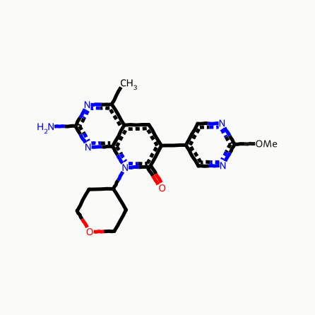 COc1ncc(-c2cc3c(C)nc(N)nc3n(C3CCOCC3)c2=O)cn1